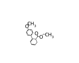 CCOC(=O)C1CC=CC=C1c1ccc(OC)cc1